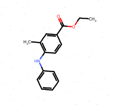 CCOC(=O)c1ccc(Nc2ccccc2)c(C)c1